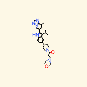 Cc1cc(-c2[nH]c3ccc(C4CCN(C(=O)CCN5CCOCC5)CC4)cc3c2C(C)C)cn2ncnc12